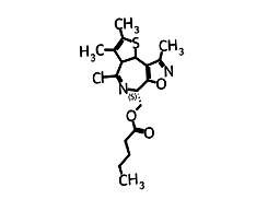 CCCCC(=O)OC[C@@H]1N=C(Cl)C2C(C)=C(C)SC2c2c(C)noc21